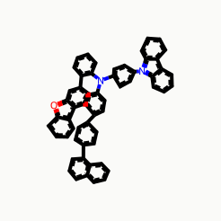 c1ccc(N(c2ccc(-c3ccc(-c4cccc5ccccc45)cc3)cc2)c2ccc(-n3c4ccccc4c4ccccc43)cc2)c(-c2ccc3c(c2)oc2ccccc23)c1